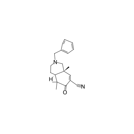 CC1(C)C(=O)C(C#N)=C[C@@]2(C)CN(Cc3ccccc3)CC[C@H]12